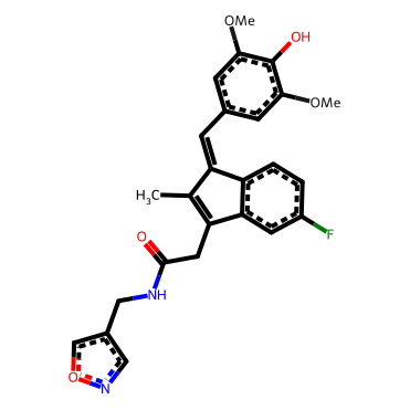 COc1cc(/C=C2/C(C)=C(CC(=O)NCc3cnoc3)c3cc(F)ccc32)cc(OC)c1O